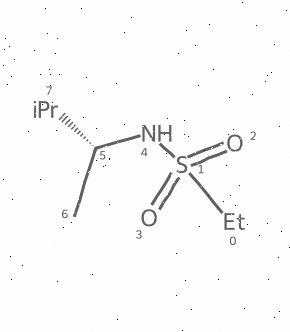 CCS(=O)(=O)N[C@H](C)C(C)C